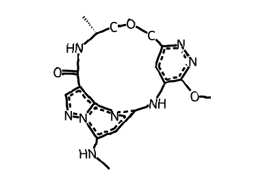 CNc1cc2nc3c(cnn13)C(=O)N[C@H](C)COCc1cc(c(OC)nn1)N2